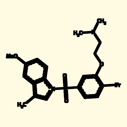 COc1ccc2c(c1)c(C)cn2S(=O)(=O)c1ccc(C(C)C)c(OCCN(C)C)c1